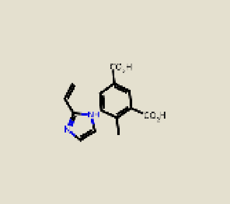 C=Cc1ncc[nH]1.Cc1ccc(C(=O)O)cc1C(=O)O